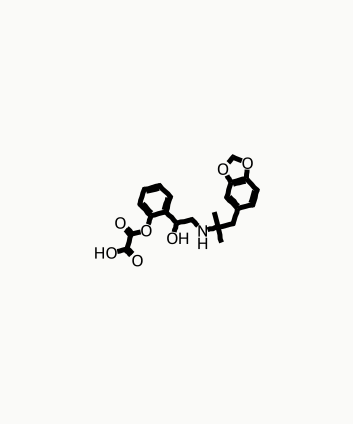 CC(C)(Cc1ccc2c(c1)OCO2)NCC(O)c1ccccc1OC(=O)C(=O)O